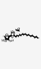 CC1CO1.CCCCCCCCCCCCCCCC(=O)O[C@H](CO)[C@H]1OC[C@H](O)[C@H]1O